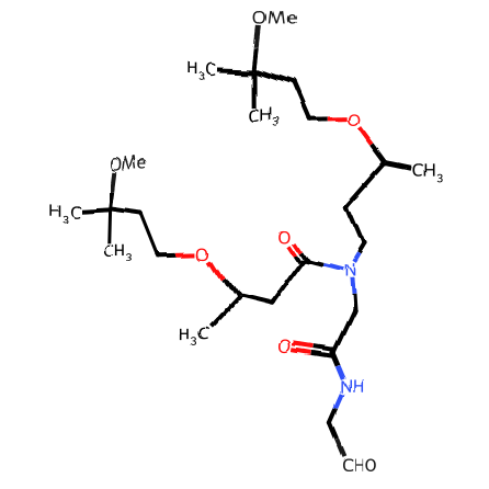 COC(C)(C)CCOC(C)CCN(CC(=O)NCC=O)C(=O)CC(C)OCCC(C)(C)OC